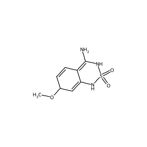 COC1C=CC2=C(N)NS(=O)(=O)NC2=C1